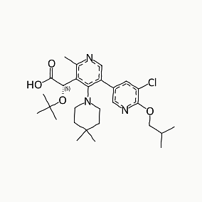 Cc1ncc(-c2cnc(OCC(C)C)c(Cl)c2)c(N2CCC(C)(C)CC2)c1[C@H](OC(C)(C)C)C(=O)O